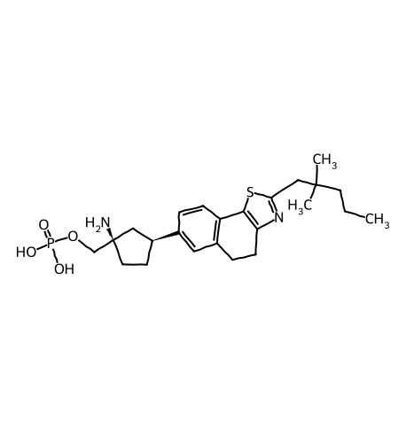 CCCC(C)(C)Cc1nc2c(s1)-c1ccc([C@H]3CC[C@](N)(COP(=O)(O)O)C3)cc1CC2